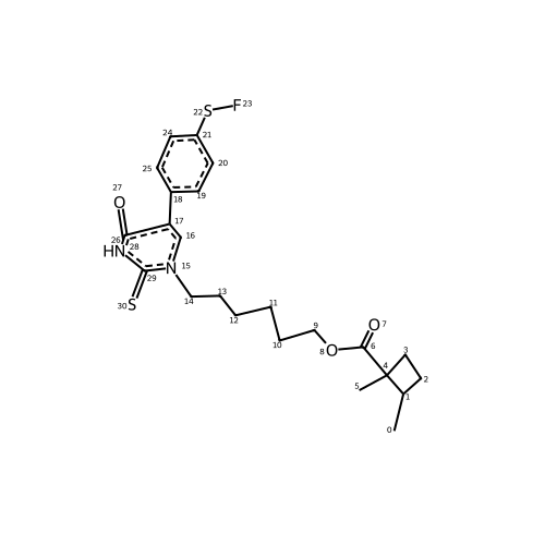 CC1CCC1(C)C(=O)OCCCCCCn1cc(-c2ccc(SF)cc2)c(=O)[nH]c1=S